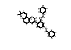 CC1(C)C=Cc2c(ccc3c2OCC(c2ccc(OCc4ccccc4)cc2OCc2ccccc2)=C3)O1